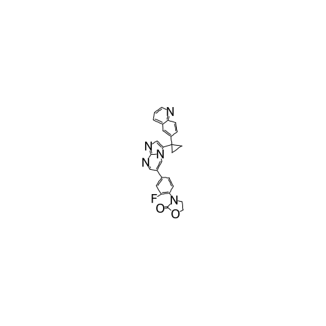 O=C1OCCN1c1ccc(-c2cnc3ncc(C4(c5ccc6ncccc6c5)CC4)n3c2)cc1F